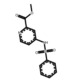 COC(=O)c1cc(NS(=O)(=O)c2ccccc2)ccn1